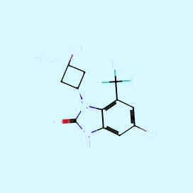 C[C@]1(O)C[C@@H](n2c(=O)[nH]c3cc(Br)cc(C(F)(F)F)c32)C1